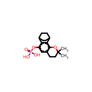 CC1(C)CCc2cc(OP(=O)(O)O)c3c(c2O1)C1CCC3CC1